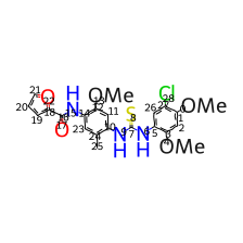 COc1cc(OC)c(NC(=S)Nc2cc(OC)c(NC(=O)c3ccco3)cc2C)cc1Cl